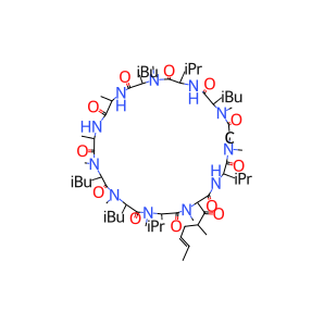 C/C=C/CC(C)C(=O)C1C(=O)NC(C(C)C)C(=O)N(C)CC(=O)N(C)C(C(C)CC)C(=O)NC(C(C)C)C(=O)N(C)C(C(C)CC)C(=O)NC(C)C(=O)NC(C)C(=O)N(C)C(C(C)CC)C(=O)N(C)C(C(C)CC)C(=O)N(C)C(C(C)C)C(=O)N1C